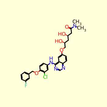 CN(C)C(=O)C[C@H](O)C[C@H](O)COc1ccc2ncnc(Nc3ccc(OCc4cccc(F)c4)c(Cl)c3)c2c1